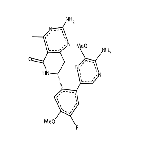 COc1cc([C@H]2Cc3nc(N)nc(C)c3C(=O)N2)c(-c2cnc(N)c(OC)n2)cc1F